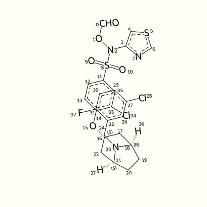 O=CON(c1cscn1)S(=O)(=O)c1ccc(O[C@@H]2C[C@H]3CC[C@@H](C2)N3Cc2cc(Cl)ccc2F)c(Cl)c1